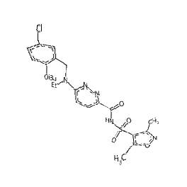 CCN(Cc1cc(Cl)ccc1OCC(C)C)c1ccc(C(=O)NS(=O)(=O)c2c(C)noc2C)nn1